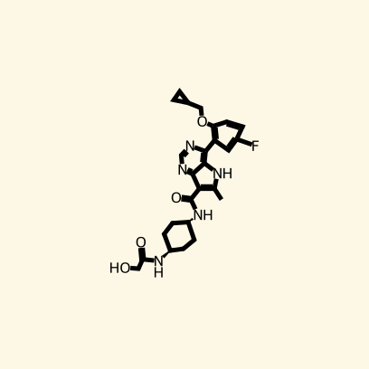 Cc1[nH]c2c(-c3cc(F)ccc3OCC3CC3)ncnc2c1C(=O)N[C@H]1CC[C@H](NC(=O)CO)CC1